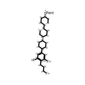 CCCCC[C@H]1CC[C@H]([C@H]2CC[C@H](C3CCC(c4cc(F)c(CCCF)c(F)c4)CC3)CC2)CC1